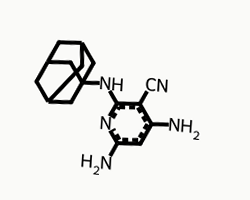 N#Cc1c(N)cc(N)nc1NC12CC3CC(CC(C3)C1)C2